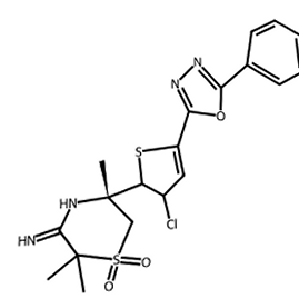 CC1(C)C(=N)N[C@](C)(C2SC(c3nnc(-c4ccccc4)o3)=CC2Cl)CS1(=O)=O